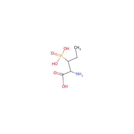 CCC(C(N)C(=O)O)P(=O)(O)O